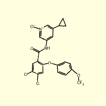 O=C(Nc1cc(C2CC2)c[n+]([O-])c1)c1cc(Cl)c(Cl)cc1Oc1ccc(OC(F)(F)F)cc1